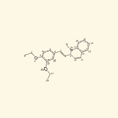 CCOc1ccc(C=CC2C=Cc3ccccc3N2C)cc1OCC